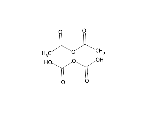 CC(=O)OC(C)=O.O=C(O)OC(=O)O